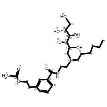 CCCCCCN(CCNC(=O)c1cccc(CCOC(N)=O)c1)C[C@H](O)[C@@H](O)[C@H](O)[C@H](O)CO